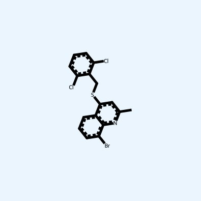 Cc1cc(SCc2c(Cl)cccc2Cl)c2cccc(Br)c2n1